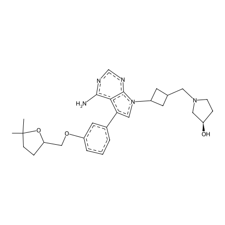 CC1(C)CCC(COc2cccc(-c3cn(C4CC(CN5CC[C@@H](O)C5)C4)c4ncnc(N)c34)c2)O1